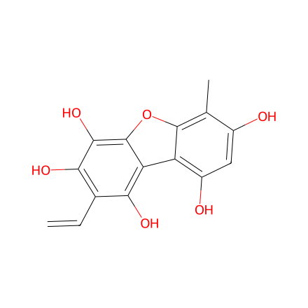 C=Cc1c(O)c(O)c2oc3c(C)c(O)cc(O)c3c2c1O